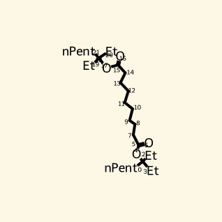 CCCCCC(CC)(CC)OC(=O)CCCCCCCCC(=O)OC(CC)(CC)CCCCC